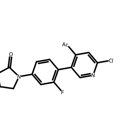 CC(=O)c1cc(Cl)ncc1-c1ccc(N2CCCC2=O)cc1F